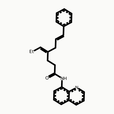 CC/C=C(/C/C=C/c1ccccc1)CCC(=O)Nc1cccc2cccnc12